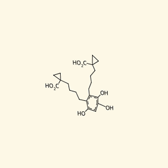 O=C(O)C1(CCCCc2c(O)cc(O)c(O)c2CCCCC2(C(=O)O)CC2)CC1